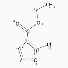 CCOC(=O)c1ccoc1Cl